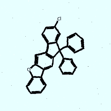 Clc1ccc2c(c1)C(c1ccccc1)(c1ccccc1)c1cc3c(cc1-2)oc1ccccc13